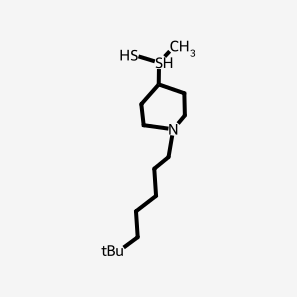 C[SH](S)C1CCN(CCCCCC(C)(C)C)CC1